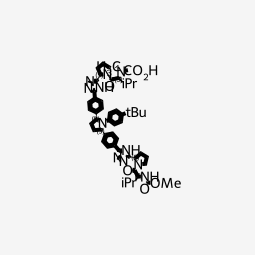 COC(=O)N[C@H](C(=O)N1CCC[C@H]1c1nnc(-c2ccc([C@@H]3CC[C@H](c4ccc(-c5nnc([C@@H]6CCCN6C(=O)[C@H](C(C)C)N(C)C(=O)O)[nH]5)cc4)N3c3ccc(C(C)(C)C)cc3)cc2)[nH]1)C(C)C